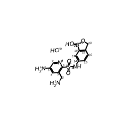 Cl.NCc1cc(N)cnc1S(=O)(=O)Nc1ccc2c(c1)B(O)OC2